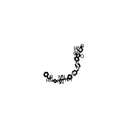 O=C1CC[C@H](N2C(=O)c3ccc(N4CCN(CC5CCN(c6ccc(Nc7ncnc8c7ncn8C7CC(NC(=O)Cc8ccccc8)C7)cc6)CC5)CC4)cc3C2=O)C(=O)N1